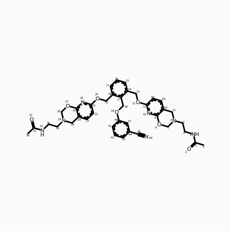 CC(=O)NCCN1COc2nc(OCc3cccc(COc4ccc5c(n4)OCN(CCNC(C)=O)C5)c3COc3cccc(C#N)c3)ccc2C1